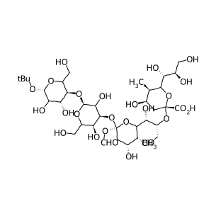 C[C@H]1C([C@H](O)[C@H](O)CO)O[C@@](O[C@H](CO)[C@@H](O)C2O[C@](OC=O)(O[C@@H]3C(O)[C@H](O[C@@H]4C(CO)O[C@@H](OC(C)(C)C)C(O)[C@H]4O)OC(CO)[C@@H]3O)C[C@@H](O)[C@H]2C)(C(=O)O)C[C@H]1O